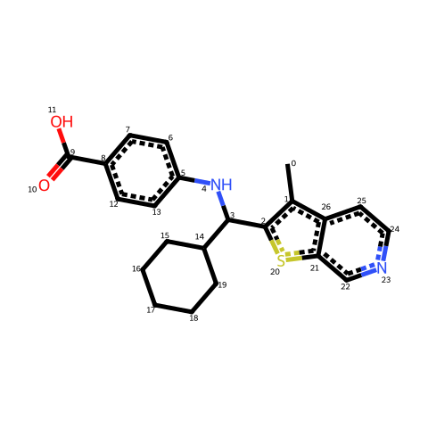 Cc1c(C(Nc2ccc(C(=O)O)cc2)C2CCCCC2)sc2cnccc12